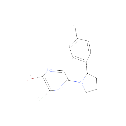 Cc1ccc(C2CCCN2c2cnc(Br)c(Cl)n2)cc1